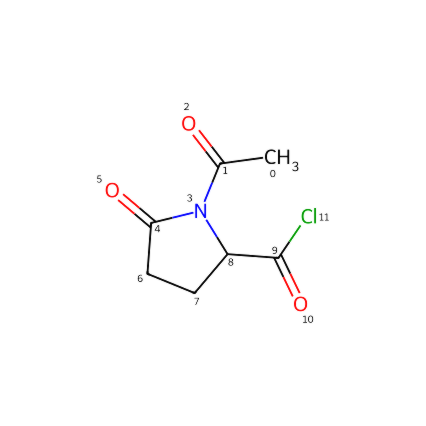 CC(=O)N1C(=O)CCC1C(=O)Cl